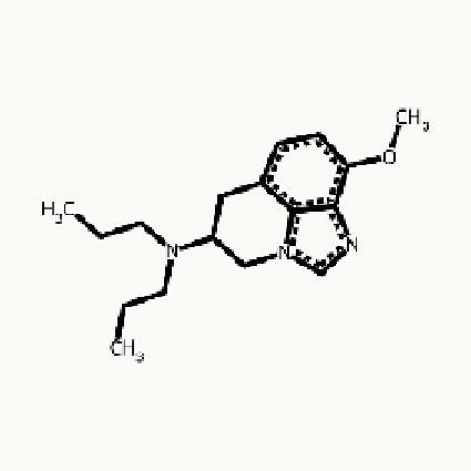 CCCN(CCC)C1Cc2ccc(OC)c3ncn(c23)C1